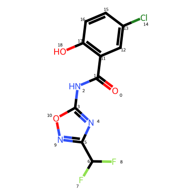 O=C(Nc1nc(C(F)F)no1)c1cc(Cl)ccc1O